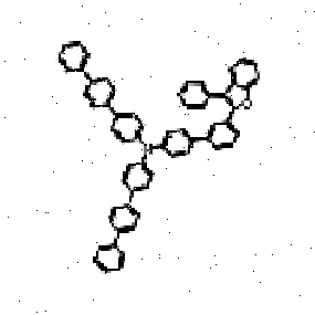 c1ccc(-c2ccc(-c3ccc(N(c4ccc(-c5ccc(-c6ccccc6)cc5)cc4)c4ccc(-c5cccc(-c6oc7ccccc7c6-c6ccccc6)c5)cc4)cc3)cc2)cc1